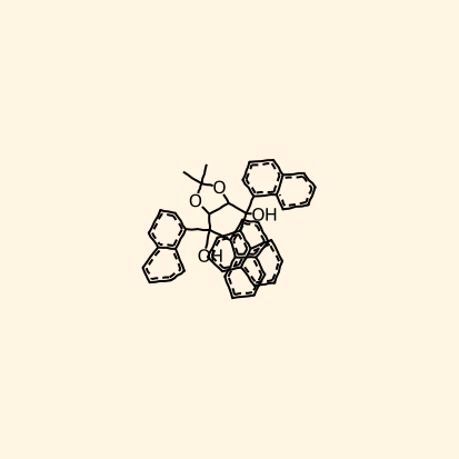 CC1(C)OC(C(O)(c2cccc3ccccc23)c2cccc3ccccc23)C(C(O)(c2cccc3ccccc23)c2cccc3ccccc23)O1